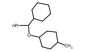 CCCC(OC1CCC(C)CC1)C1CCCCC1